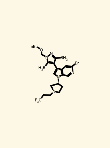 Bc1nn(COCCCC)c(B)c1-c1cn([C@H]2CCN(CCC(F)(F)F)C2)c2cnc(Br)cc12